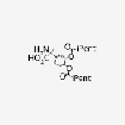 CCCC(C)C(=O)Oc1ccc([C@](C)(N)C(=O)O)cc1OC(=O)C(C)CCC